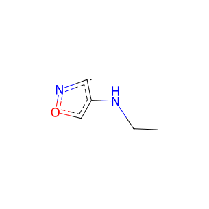 CCNc1[c]noc1